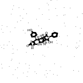 O=C1[C@@H]2[C@H]3C[C@H]([C@@H]4Sc5[nH]c(=O)sc5[C@@H](c5ccc(O)cc5)[C@H]34)[C@@H]2C(O)N1c1ccccc1